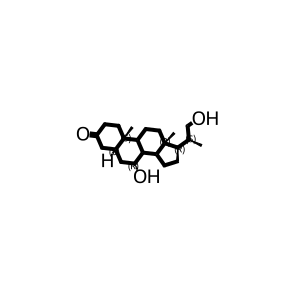 C[C@H](CO)[C@H]1CCC2C3C(CC[C@@]21C)[C@@]1(C)CCC(=O)C[C@@H]1C[C@H]3O